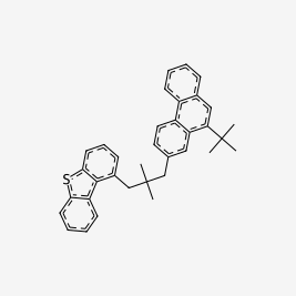 CC(C)(Cc1ccc2c(c1)c(C(C)(C)C)cc1ccccc12)Cc1cccc2sc3ccccc3c12